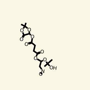 CC(C)(O)OC(CN=O)OC(=O)CCC(=O)OC1OC(C)(C)OC1=O